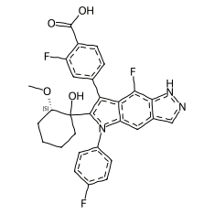 CO[C@H]1CCCCC1(O)c1c(-c2ccc(C(=O)O)c(F)c2)c2c(F)c3[nH]ncc3cc2n1-c1ccc(F)cc1